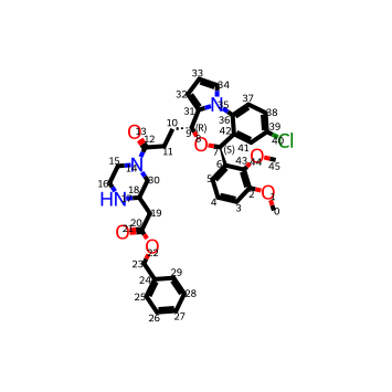 COc1cccc([C@H]2O[C@H](CCC(=O)N3CCNC(CC(=O)OCc4ccccc4)C3)c3cccn3-c3ccc(Cl)cc32)c1OC